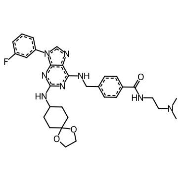 CN(C)CCNC(=O)c1ccc(CNc2nc(NC3CCC4(CC3)OCCO4)nc3c2ncn3-c2cccc(F)c2)cc1